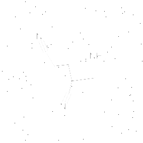 N.[CH2]C(C#N)CCC#N